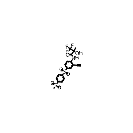 C#Cc1cc(S(=O)(=O)c2ccc(S(C)(=O)=O)cc2)ccc1NC(=O)C(C)(O)C(F)(F)F